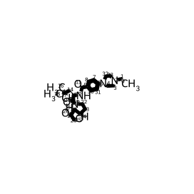 CCN1CCN(c2ccc(C(=O)N[C@@H](CC(C)(C)C)C(=O)N3CC[C@H]4OCC(=O)[C@H]43)cc2)CC1